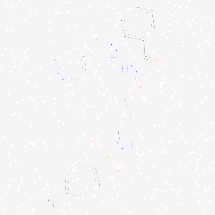 N#Cc1ccc(S(=O)(=O)NCCCONC(=O)c2ccccc2NCc2ccncc2)cc1